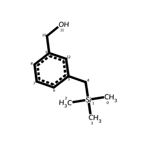 C[Si](C)(C)Cc1cccc(CO)c1